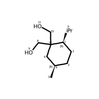 CC(C)[C@H]1CC[C@@H](C)CC1(CO)CO